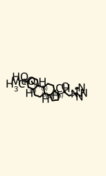 COC[C@]12CC[C@@](C)(O)C[C@@H]1CC[C@H]1[C@@H]3CC[C@H](C(=O)Cn4cnnn4)[C@@]3(C)CC[C@@H]12